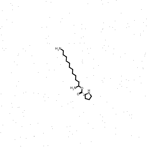 NCCCCCCCCCCCC(N)OC(=O)[C@H]1CCCN1